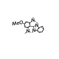 COc1cc(N(C)C)c(C2N(C)c3ccccc3N2C)c(N(C)C)c1